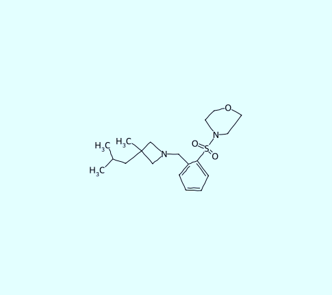 CC(C)CC1(C)CN(Cc2ccccc2S(=O)(=O)N2CCOCC2)C1